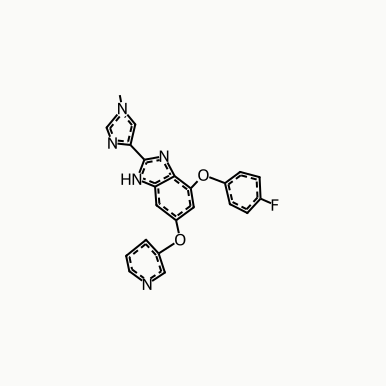 Cn1cnc(-c2nc3c(Oc4ccc(F)cc4)cc(Oc4cccnc4)cc3[nH]2)c1